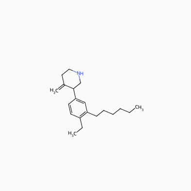 C=C1CCNCC1c1ccc(CC)c(CCCCCC)c1